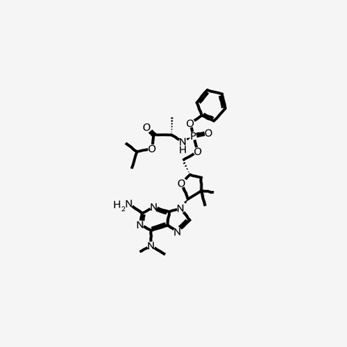 CC(C)OC(=O)[C@H](C)N[P@](=O)(OC[C@@H]1CC(C)(C)[C@H](n2cnc3c(N(C)C)nc(N)nc32)O1)Oc1ccccc1